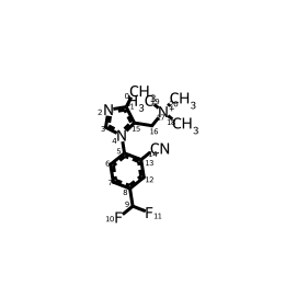 Cc1ncn(-c2ccc(C(F)F)cc2C#N)c1C[N+](C)(C)C